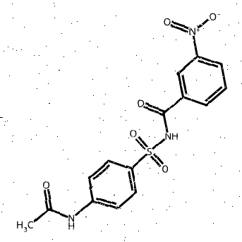 CC(=O)Nc1ccc(S(=O)(=O)NC(=O)c2cccc([N+](=O)[O-])c2)cc1